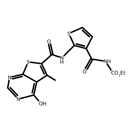 CCOC(=O)NC(=O)c1ccsc1NC(=O)c1sc2ncnc(O)c2c1C